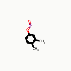 Cc1ccc(OP=O)cc1C